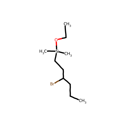 CCCC(Br)CC[Si](C)(C)OCC